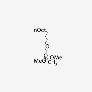 CCCCCCCCCCCCOCCO[Si](C)(OC)OC